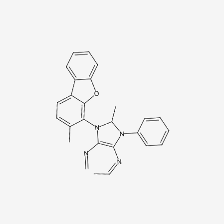 C=NC1=C(/N=C\C)N(c2ccccc2)C(C)N1c1c(C)ccc2c1oc1ccccc12